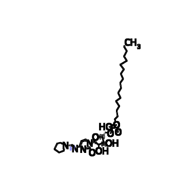 CCCCCCCCCCCCCCCCCCOP(=O)(O)OC[C@H]1O[C@@H](n2ccc(/N=C/N3CCCCC3)nc2=O)C(O)[C@H]1O